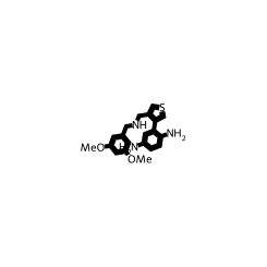 COc1cc(CNCc2cscc2-c2cc(N)ccc2N)cc(OC)c1